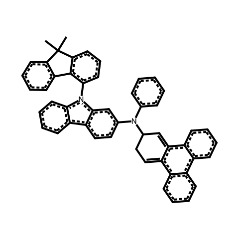 CC1(C)c2ccccc2-c2c(-n3c4ccccc4c4ccc(N(c5ccccc5)C5C=c6c(c7ccccc7c7ccccc67)=CC5)cc43)cccc21